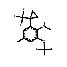 CNc1c(OC(F)(F)F)cc(I)cc1C1(C(F)(F)F)CC1